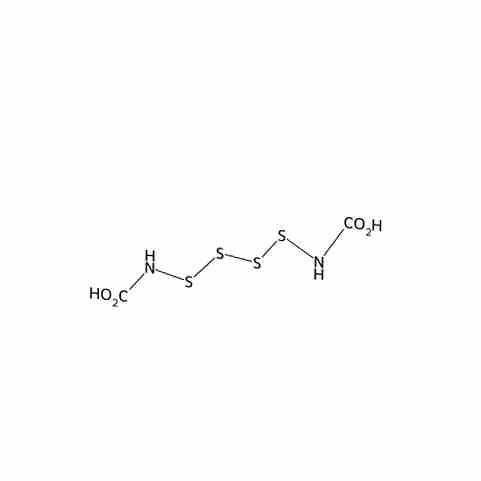 O=C(O)NSSSSNC(=O)O